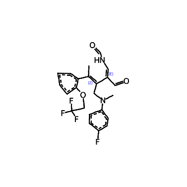 C/C(=C(CN(C)c1ccc(F)cc1)\C(C=O)=C/NC=O)c1ccccc1OCC(F)(F)F